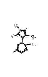 CC(=O)c1c(-c2cc(F)ccc2C(=O)O)c(C(F)(F)F)nn1C